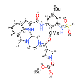 COc1c(NC(=O)c2cc3cccc(C(C)N4CCN(C(=O)C5CN(OC(=O)OC(C)(C)C)C5)CC4)c3[nH]2)cc(C(C)(C)C)cc1NS(C)(=O)=O